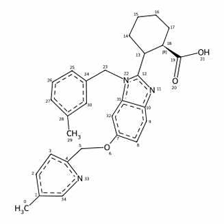 Cc1ccc(COc2ccc3nc(C4CCCC[C@H]4C(=O)O)n(Cc4cccc(C)c4)c3c2)nc1